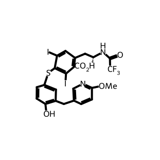 COc1ccc(Cc2cc(Sc3c(I)cc(C[C@H](NC(=O)C(F)(F)F)C(=O)O)cc3I)ccc2O)cn1